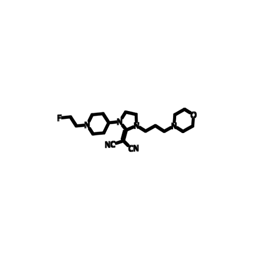 N#CC(C#N)=C1N(CCCN2CCOCC2)CCN1C1CCN(CCF)CC1